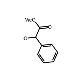 COC(=O)C([O])c1ccccc1